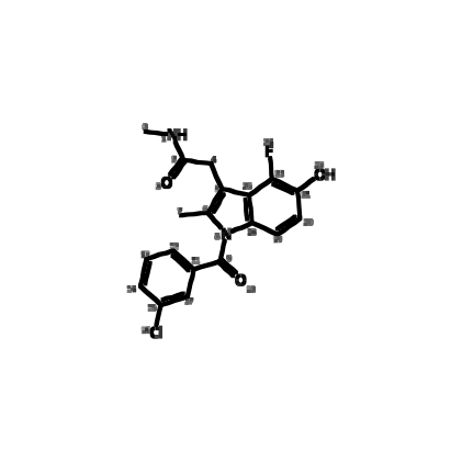 CNC(=O)Cc1c(C)n(C(=O)c2cccc(Cl)c2)c2ccc(O)c(F)c12